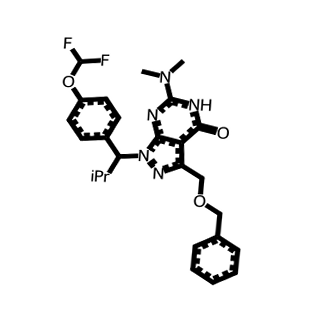 CC(C)C(c1ccc(OC(F)F)cc1)n1nc(COCc2ccccc2)c2c(=O)[nH]c(N(C)C)nc21